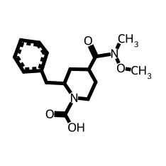 CON(C)C(=O)C1CCN(C(=O)O)C(Cc2ccccc2)C1